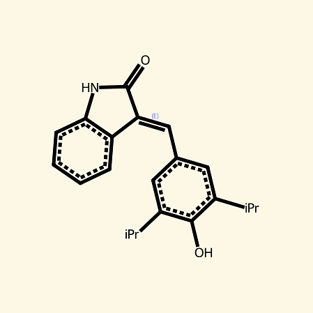 CC(C)c1cc(/C=C2/C(=O)Nc3ccccc32)cc(C(C)C)c1O